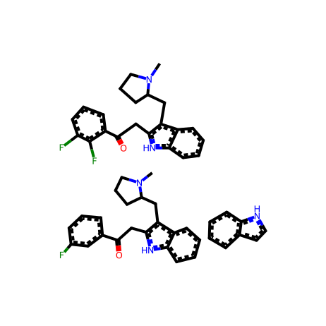 CN1CCCC1Cc1c(CC(=O)c2cccc(F)c2)[nH]c2ccccc12.CN1CCCC1Cc1c(CC(=O)c2cccc(F)c2F)[nH]c2ccccc12.c1ccc2[nH]ccc2c1